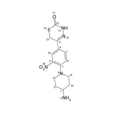 NC1CCN(c2ccc(C3=NNC(=O)SC3)cc2[N+](=O)[O-])CC1